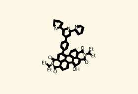 CCC(CC)N1C(=O)c2ccc3c4c(-c5ccc(-c6cc(-c7ccccn7)nc(-c7ccccn7)c6)cc5)cc5c6c(ccc(c7c(O)cc(c2c37)C1=O)c64)C(=O)N(C(CC)CC)C5=O